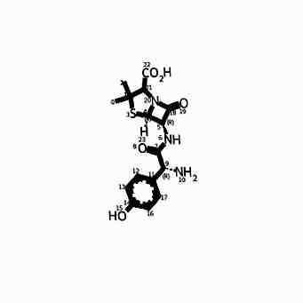 CC1(C)S[C@@H]2[C@H](NC(=O)[C@H](N)c3ccc(O)cc3)C(=O)N2C1C(=O)O